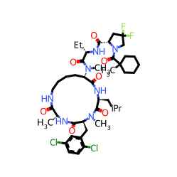 CC[C@H](NC(=O)[C@@H]1CC(F)(F)CN1C(=O)C1(C(F)(F)F)CCCCC1)C(=O)N(C)[C@H]1CCCCNC(=O)[C@@H](C)NC(=O)[C@H](Cc2cc(Cl)ccc2Cl)N(C)C(=O)[C@H](CC(C)C)NC1=O